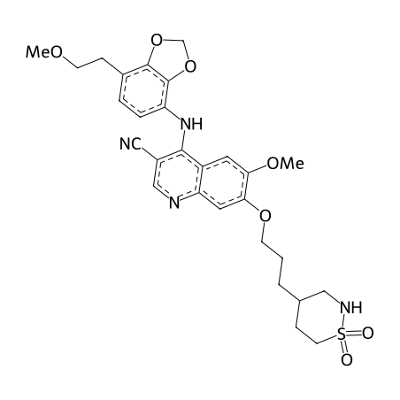 COCCc1ccc(Nc2c(C#N)cnc3cc(OCCCC4CCS(=O)(=O)NC4)c(OC)cc23)c2c1OCO2